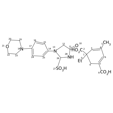 CCC1(C(=O)O)C=C(C)C=C(C(=O)O)C1.O=C1CN(c2ccc(N3CCOCC3)cc2)C(S(=O)(=O)O)N1